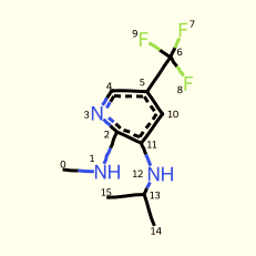 CNc1ncc(C(F)(F)F)cc1NC(C)C